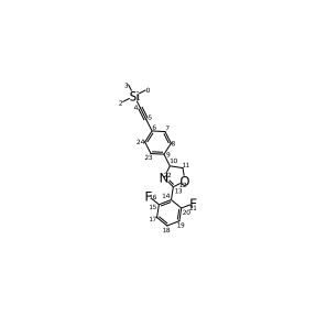 C[Si](C)(C)C#Cc1ccc(C2COC(c3c(F)cccc3F)=N2)cc1